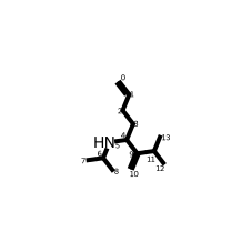 C=CCCC(NC(C)C)C(=C)C(C)C